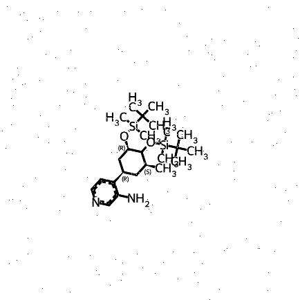 C[C@H]1C[C@@H](c2ccncc2N)C[C@@H](O[Si](C)(C)C(C)(C)C)C1O[Si](C)(C)C(C)(C)C